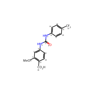 COc1cc(NC(=O)Nc2ccc(C(F)(F)F)cc2)ccc1C(=O)O